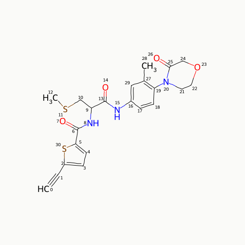 C#Cc1ccc(C(=O)NC(CSC)C(=O)Nc2ccc(N3CCOCC3=O)c(C)c2)s1